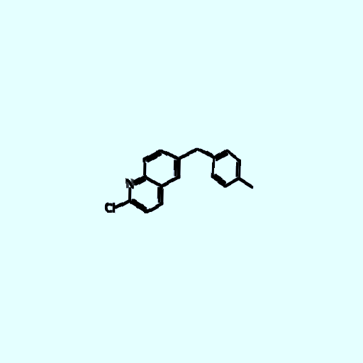 Cc1ccc(Cc2ccc3nc(Cl)ccc3c2)cc1